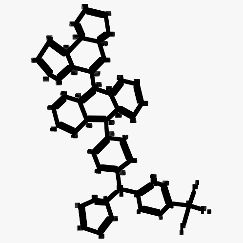 FC(F)(F)c1ccc(N(c2ccccc2)c2ccc(-c3c4ccccc4c(-c4cc5ccccc5c5ccccc45)c4ccccc34)cc2)nc1